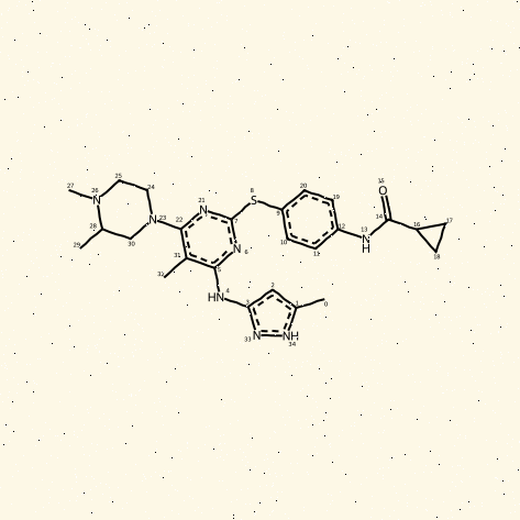 Cc1cc(Nc2nc(Sc3ccc(NC(=O)C4CC4)cc3)nc(N3CCN(C)C(C)C3)c2C)n[nH]1